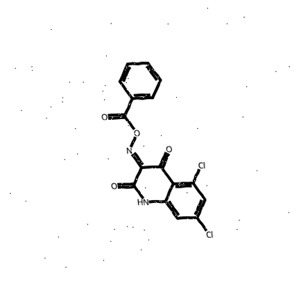 O=C1Nc2cc(Cl)cc(Cl)c2C(=O)C1=NOC(=O)c1ccccc1